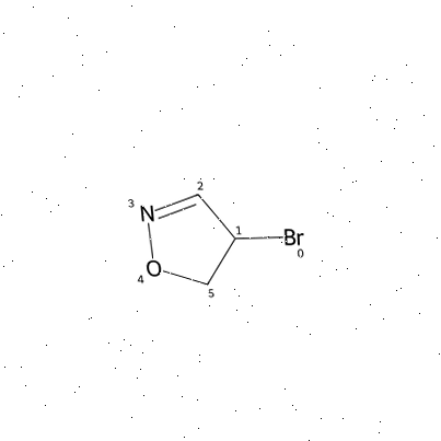 BrC1C=NOC1